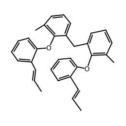 CC=Cc1ccccc1Oc1c(C)cccc1Cc1cccc(C)c1Oc1ccccc1C=CC